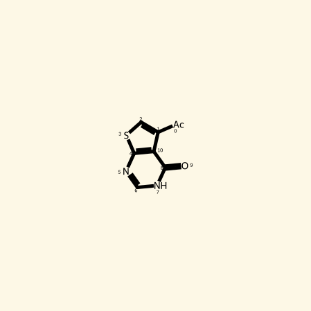 CC(=O)c1csc2nc[nH]c(=O)c12